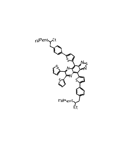 CCCCCC(CC)Cc1ccc(-c2ccc(-c3c4nsnc4c(-c4ccc(-c5ccc(CC(CC)CCCCC)cc5)s4)c4nc(-c5cccs5)c(-c5cccs5)nc34)s2)cc1